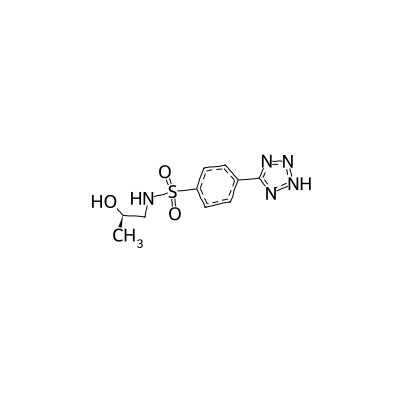 C[C@@H](O)CNS(=O)(=O)c1ccc(-c2nn[nH]n2)cc1